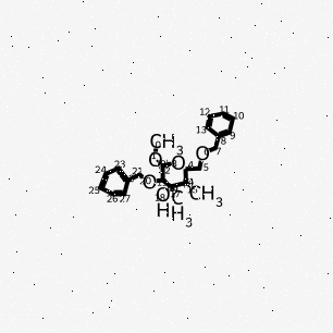 CO[C@@H]1OC(COCc2ccccc2)[C@H](C)[C@](C)(O)C1OCc1ccccc1